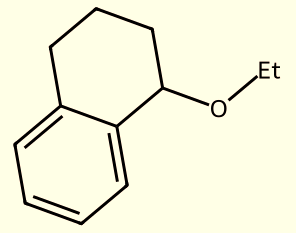 CCOC1CCCc2ccccc21